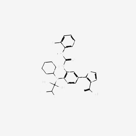 BC(B)(C(C)C)N(c1ccc(-c2sccc2C(=O)O)cc1NC(=O)Nc1ccccc1F)C1CCCCC1